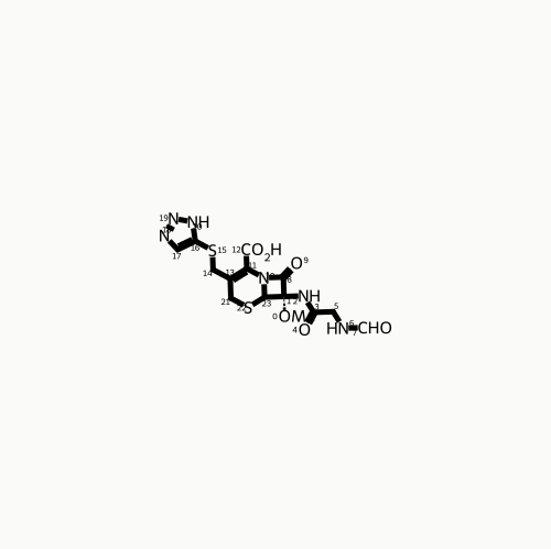 CO[C@@]1(NC(=O)CNC=O)C(=O)N2C(C(=O)O)=C(CSc3cnn[nH]3)CSC21